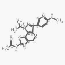 CNc1ccc(-c2nn(C(C)C)c3c2OCc2nc(NC(C)=O)sc2-3)cn1